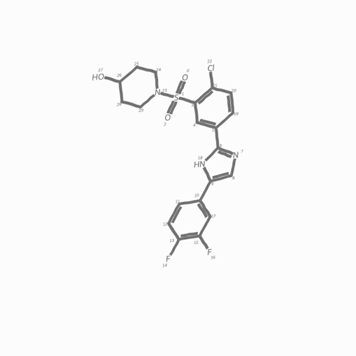 O=S(=O)(c1cc(-c2ncc(-c3ccc(F)c(F)c3)[nH]2)ccc1Cl)N1CCC(O)CC1